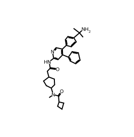 CN(C(=O)C1CCC1)C1CCC(CC(=O)Nc2cc(-c3ccccc3)c(-c3ccc(C(C)(C)N)cc3)cn2)CC1